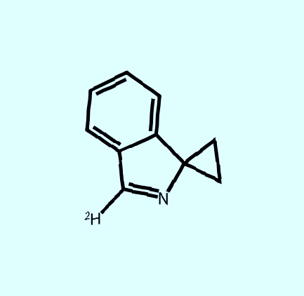 [2H]C1=NC2(CC2)c2ccccc21